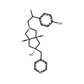 CC(CN1C[C@@H]2C[C@@](O)(Cc3ccncc3)C[C@@H]2C1)c1ccc(O)cc1